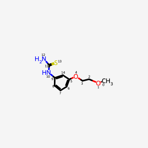 COCCOc1cccc(NC(N)=S)c1